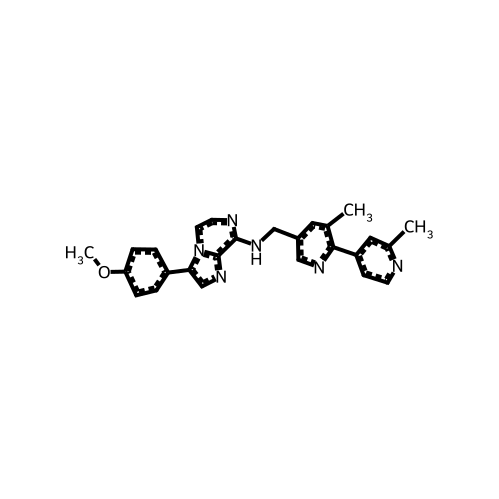 COc1ccc(-c2cnc3c(NCc4cnc(-c5ccnc(C)c5)c(C)c4)nccn23)cc1